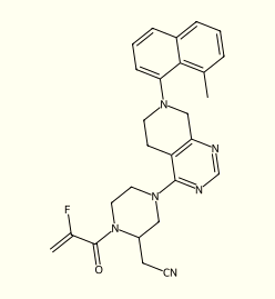 C=C(F)C(=O)N1CCN(c2ncnc3c2CCN(c2cccc4cccc(C)c24)C3)CC1CC#N